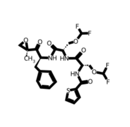 C[C@]1(C(=O)[C@H](Cc2ccccc2)NC(=O)[C@H](COC(F)F)NC(=O)[C@H](COC(F)F)NC(=O)c2cccs2)CO1